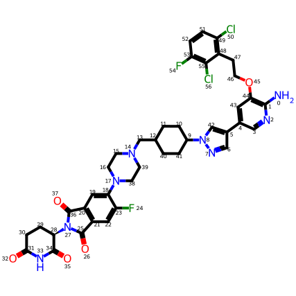 Nc1ncc(-c2cnn(C3CCC(CN4CCN(c5cc6c(cc5F)C(=O)N([C@@H]5CCC(=O)NC5=O)C6=O)CC4)CC3)c2)cc1OCCc1c(Cl)ccc(F)c1Cl